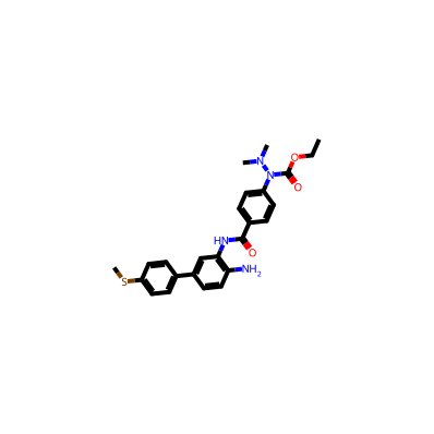 CCOC(=O)N(c1ccc(C(=O)Nc2cc(-c3ccc(SC)cc3)ccc2N)cc1)N(C)C